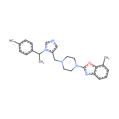 Cc1cccc2nc(N3CCN(Cc4cncn4C(C)c4ccc(C#N)cc4)CC3)oc12